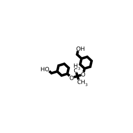 CC(C)(OC1CCCC(CO)C1)OC1CCCC(CO)C1